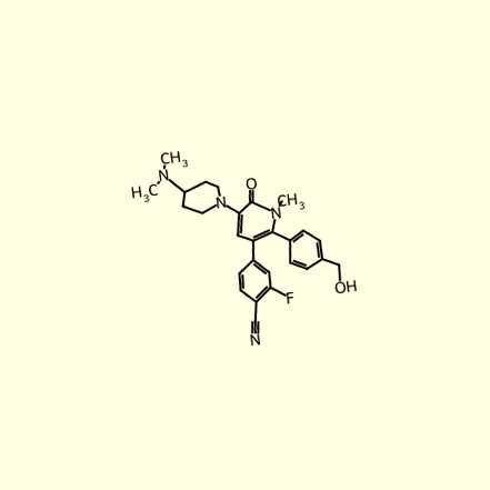 CN(C)C1CCN(c2cc(-c3ccc(C#N)c(F)c3)c(-c3ccc(CO)cc3)n(C)c2=O)CC1